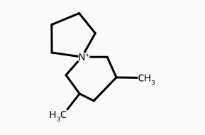 CC1CC(C)C[N+]2(CCCC2)C1